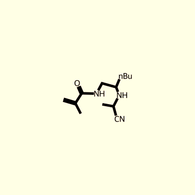 C=C(C)C(=O)NCC(CCCC)NC(C)C#N